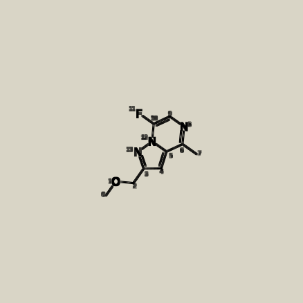 COCc1cc2c(C)ncc(F)n2n1